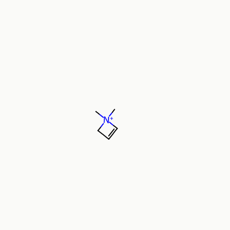 C[N+]1(C)C=CC1